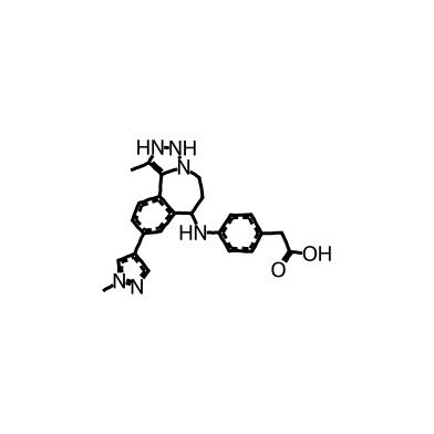 CC1=C2c3ccc(-c4cnn(C)c4)cc3C(Nc3ccc(CC(=O)O)cc3)CCN2NN1